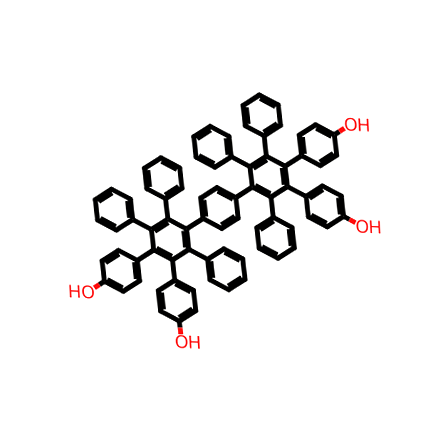 Oc1ccc(-c2c(-c3ccccc3)c(-c3ccccc3)c(-c3ccc(-c4c(-c5ccccc5)c(-c5ccccc5)c(-c5ccc(O)cc5)c(-c5ccc(O)cc5)c4-c4ccccc4)cc3)c(-c3ccccc3)c2-c2ccc(O)cc2)cc1